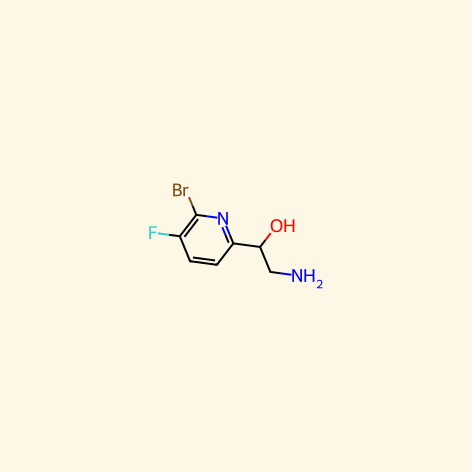 NCC(O)c1ccc(F)c(Br)n1